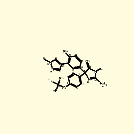 CN1C(=O)C(c2ccc(OC(F)(F)F)cc2)(c2ccc(F)c(-c3cnn(C)c3)c2)N=C1N